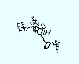 CSCC(=O)Nc1c2c(nn1CCCOC(F)(F)F)CC(CCc1cccc(CCC(F)(F)F)c1)NC2=O